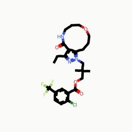 CCc1nn(CC(C)(C)COC(=O)c2cc(C(F)(F)F)ccc2Cl)c2c1C(=O)NCCCOCCC2